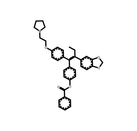 CCC(=C(c1ccc(OCCN2CCCC2)cc1)c1ccc(OC(=O)c2ccccc2)cc1)c1ccc2c(c1)OCO2